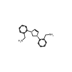 NCc1ccccc1N1C=CN(c2ccccc2CN)C1